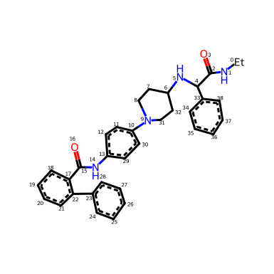 CCNC(=O)C(NC1CCN(c2ccc(NC(=O)c3ccccc3-c3ccccc3)cc2)CC1)c1ccccc1